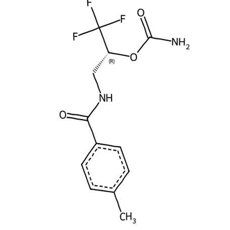 Cc1ccc(C(=O)NC[C@@H](OC(N)=O)C(F)(F)F)cc1